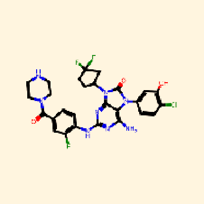 Nc1nc(Nc2ccc(C(=O)N3CCNCC3)cc2F)nc2c1n(-c1ccc(Cl)c(O)c1)c(=O)n2C1CCC(F)(F)C1